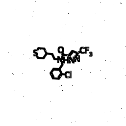 O=C(c1cc(C(F)(F)F)n[nH]1)N(CCC1CCSCC1)Cc1ccccc1Cl